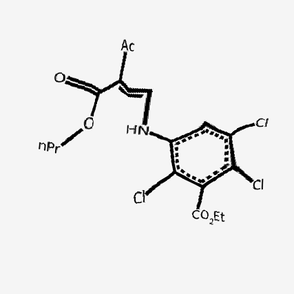 CCCOC(=O)C(=CNc1cc(Cl)c(Cl)c(C(=O)OCC)c1Cl)C(C)=O